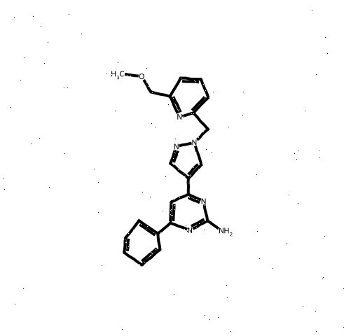 COCc1cccc(Cn2cc(-c3cc(-c4ccccc4)nc(N)n3)cn2)n1